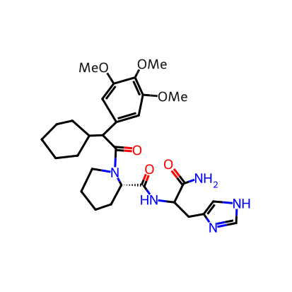 COc1cc(C(C(=O)N2CCCC[C@H]2C(=O)NC(Cc2c[nH]cn2)C(N)=O)C2CCCCC2)cc(OC)c1OC